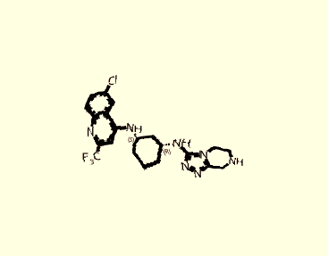 FC(F)(F)c1cc(N[C@H]2CCC[C@@H](Nc3nnc4n3CCNC4)C2)c2cc(Cl)ccc2n1